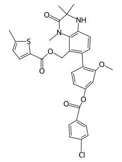 COc1cc(OC(=O)c2ccc(Cl)cc2)ccc1-c1ccc2c(c1COC(=O)c1ccc(C)s1)N(C)C(=O)C(C)(C)N2